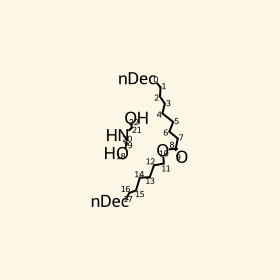 CCCCCCCCCCCCCCCCCC(=O)OCCCCCCCCCCCCCCCC.OCNCO